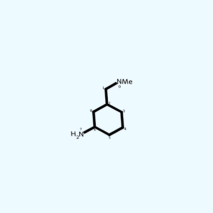 CNCC1CCCC(N)C1